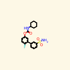 NS(=O)(=O)c1cccc(-c2cc(OC(=O)NC3CCCCC3)ccc2F)c1